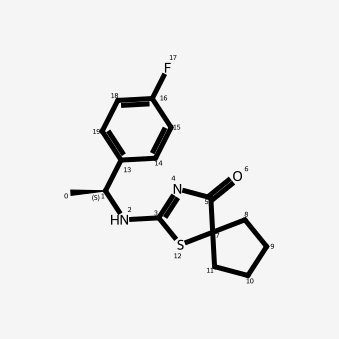 C[C@H](NC1=NC(=O)C2(CCCC2)S1)c1ccc(F)cc1